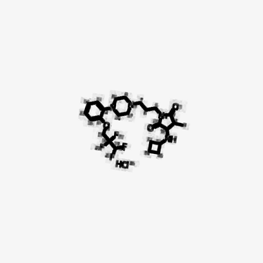 CC1C(=O)N(CCCN2CCN(c3ccccc3OCC(F)(F)C(F)F)CC2)C(=O)C1NC1CCC1.Cl